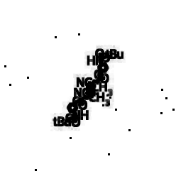 CC(C#N)(CCC(=O)Oc1cccc(NC(=O)OC(C)(C)C)c1)N=NC(C)(C#N)CCC(=O)Oc1cccc(NC(=O)OC(C)(C)C)c1